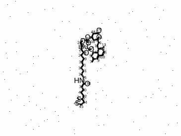 CCC(C)C(=O)OC1CC(C)C=C2C=CC(C)C(CCC3CC(OC(=O)OCCCCCCCCCCCCNC(=O)CCCCC4CCSS4)CC(=O)O3)C21